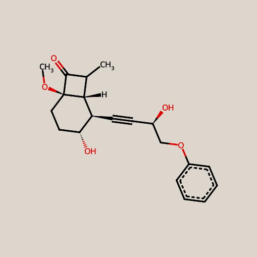 CO[C@]12CC[C@@H](O)[C@H](C#C[C@@H](O)COc3ccccc3)[C@H]1C(C)C2=O